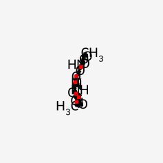 CC(=O)COCC(=O)NCCOCCOCCn1cc(CNC(=O)C2CCC(CN3C(=O)CC(C)C3=O)CC2)nn1